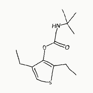 CCc1csc(CC)c1OC(=O)NC(C)(C)C